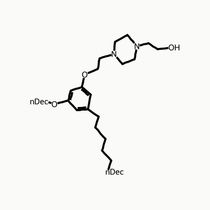 CCCCCCCCCCCCCCCc1cc(OCCCCCCCCCC)cc(OCCN2CCN(CCO)CC2)c1